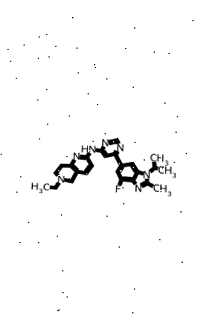 CCN1CCc2nc(Nc3cc(-c4cc(F)c5nc(C)n(C(C)C)c5c4)ncn3)ccc2C1